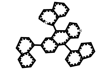 c1ccc2c(-c3ccc4c(-c5cccc6ccccc56)c5cnccc5c(-c5cccc6ccccc56)c4c3)cccc2c1